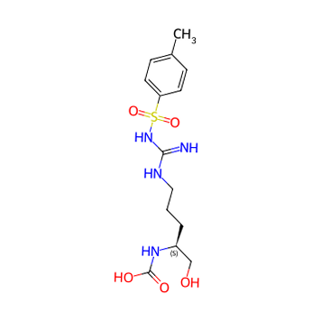 Cc1ccc(S(=O)(=O)NC(=N)NCCC[C@@H](CO)NC(=O)O)cc1